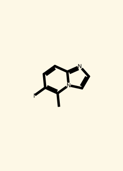 Cc1c(I)ccc2nccn12